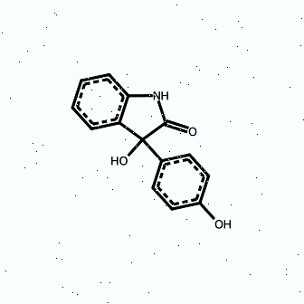 O=C1Nc2ccccc2C1(O)c1ccc(O)cc1